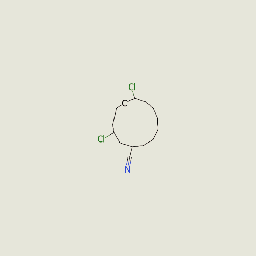 N#CC1CCCCCCC(Cl)CCCC(Cl)C1